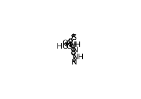 CN(C)CCNc1ccc2cc(C(=O)Nc3cc(-c4cccs4)ccc3NC(=O)O)cnc2c1